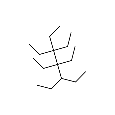 CCC(CC)C(CC)(CC)C(CC)(CC)CC